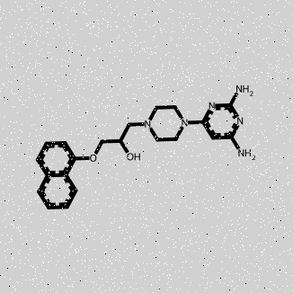 Nc1cc(N2CCN(CC(O)COc3cccc4ccccc34)CC2)nc(N)n1